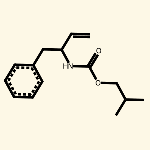 C=CC(Cc1ccccc1)NC(=O)OCC(C)C